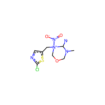 CN1COC[N+](Cc2cnc(Cl)s2)([N+](=O)[O-])C1[N]